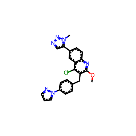 COc1nc2ccc(-c3cnnn3C)cc2c(Cl)c1Cc1ccc(-n2cccn2)cc1